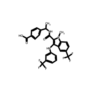 CC(NC(=O)c1c(Nc2cccc(C(F)(F)F)c2)c2cc(C(F)(F)F)ccc2n1C)c1ccc(C(=O)O)cc1